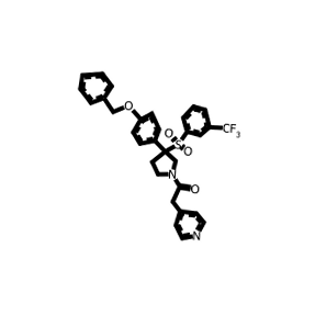 O=C(Cc1ccncc1)N1CCC(c2ccc(OCc3ccccc3)cc2)(S(=O)(=O)c2cccc(C(F)(F)F)c2)C1